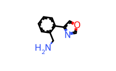 NCc1ccccc1-c1cocn1